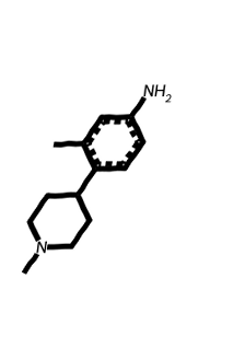 Cc1cc(N)ccc1C1CCN(C)CC1